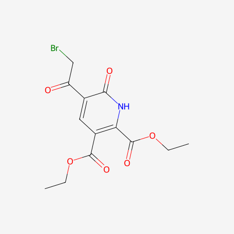 CCOC(=O)c1cc(C(=O)CBr)c(=O)[nH]c1C(=O)OCC